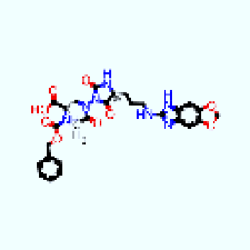 CC(=O)N(C[C@H](NC(=O)OCc1ccccc1)C(=O)O)N1C(=O)N[C@@H](CCCNc2nc3cc4c(cc3[nH]2)OCO4)C1=O